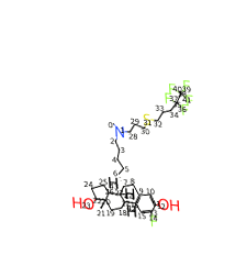 CN(CCCCC[C@@H]1Cc2cc(O)c(F)cc2[C@H]2CC[C@]3(C)[C@@H](O)CC[C@H]3[C@H]12)CCCSCCCC(F)(F)C(F)(F)F